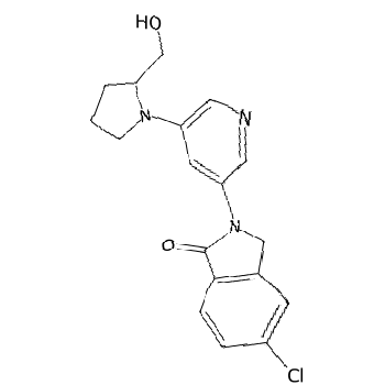 O=C1c2ccc(Cl)cc2CN1c1cncc(N2CCCC2CO)c1